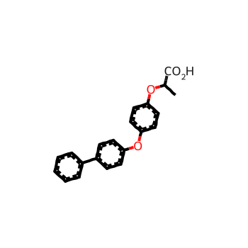 CC(Oc1ccc(Oc2ccc(-c3ccccc3)cc2)cc1)C(=O)O